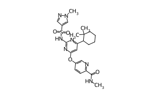 CNC(=O)c1ccc(Oc2cc(C3CCCCC3(C)C)nc(NS(=O)(=O)c3cnn(C)c3)n2)cn1